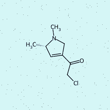 C[C@H]1C=C(C(=O)CCl)CN1C